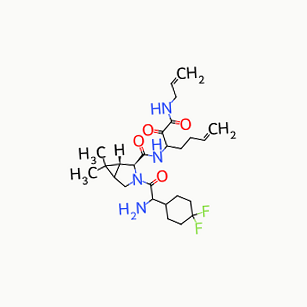 C=CCCC(NC(=O)[C@@H]1[C@@H]2C(CN1C(=O)C(N)C1CCC(F)(F)CC1)C2(C)C)C(=O)C(=O)NCC=C